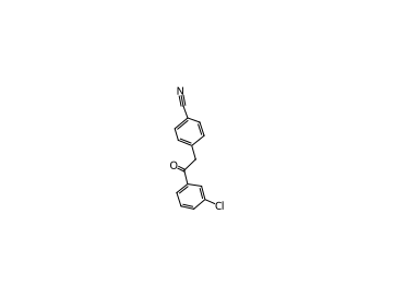 N#Cc1ccc(CC(=O)c2cccc(Cl)c2)cc1